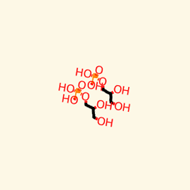 O=P(O)(O)OCC(O)CO.O=P(O)(O)OCC(O)CO